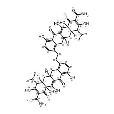 CN(C)[C@@H]1C(O)=C(C(N)=O)C(=O)[C@@]2(O)C(O)=C3C(=O)c4c(O)ccc(CCc5ccc(O)c6c5C[C@H]5C[C@H]7[C@H](N(C)C)C(O)=C(C(N)=O)C(=O)[C@@]7(O)C(O)=C5C6=O)c4C[C@H]3C[C@@H]12